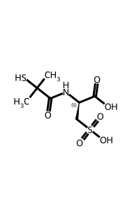 CC(C)(S)C(=O)N[C@H](CS(=O)(=O)O)C(=O)O